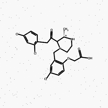 C[C@@H]1NCCN(Cc2cc(Cl)ccc2OCC(=O)O)C1C(=O)Cc1ccc(Cl)cc1Cl